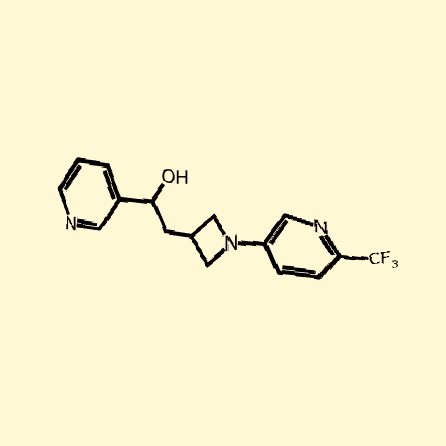 OC(CC1CN(c2ccc(C(F)(F)F)nc2)C1)c1cccnc1